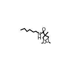 CCCCCCNC(=O)C(C)(COC)COC